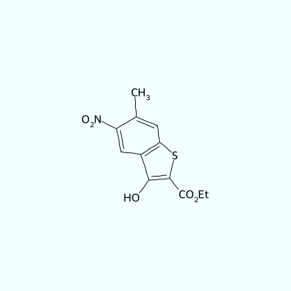 CCOC(=O)c1sc2cc(C)c([N+](=O)[O-])cc2c1O